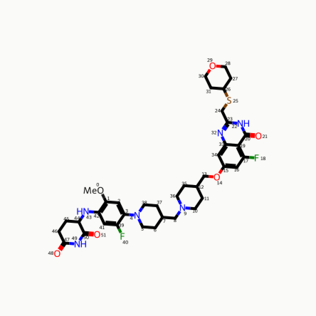 COc1cc(N2CCC(CN3CCC(COc4cc(F)c5c(=O)[nH]c(CSC6CCOCC6)nc5c4)CC3)CC2)c(F)cc1NC1CCC(=O)NC1=O